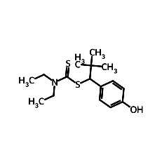 CCN(CC)C(=S)SC(c1ccc(O)cc1)C(C)(C)C